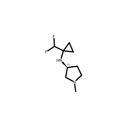 CN1CC[C@H](NC2(C(F)F)CC2)C1